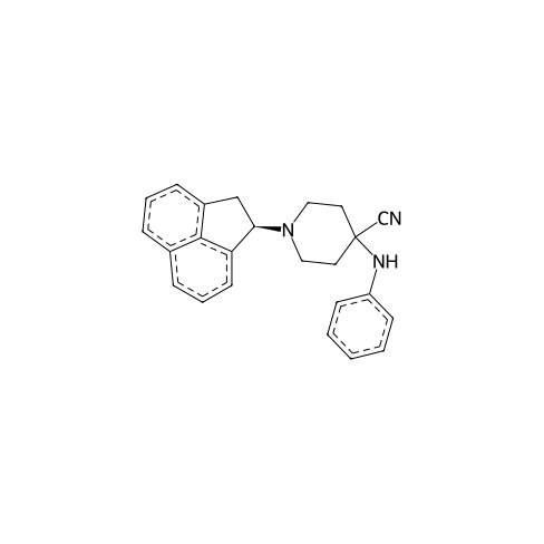 N#CC1(Nc2ccccc2)CCN([C@@H]2Cc3cccc4cccc2c34)CC1